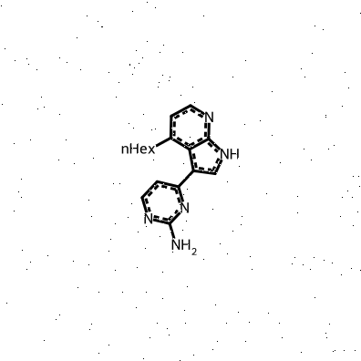 CCCCCCc1ccnc2[nH]cc(-c3ccnc(N)n3)c12